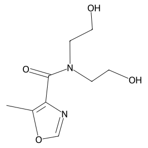 Cc1ocnc1C(=O)N(CCO)CCO